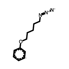 [N-]=[N+]=NCCCCCOc1c[c]ccc1